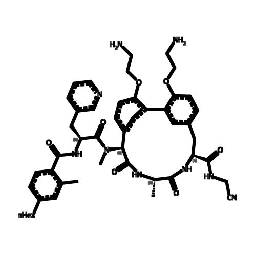 CCCCCCc1ccc(C(=O)N[C@@H](Cc2cccnc2)C(=O)N(C)[C@@H]2C(=O)N[C@@H](C)C(=O)N[C@H](C(=O)NCC#N)Cc3ccc(OCCN)c(c3)-c3cc2ccc3OCCN)c(C)c1